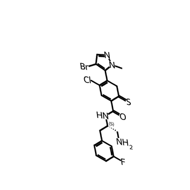 Cn1ncc(Br)c1C1=C(Cl)C=C(C(=O)N[C@H](CN)Cc2cccc(F)c2)C(=S)C1